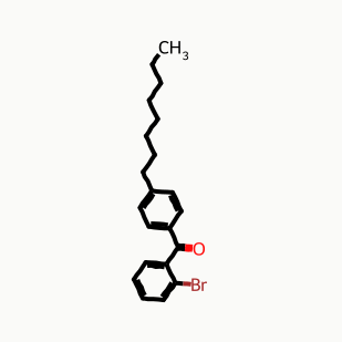 CCCCCCCCc1ccc(C(=O)c2ccccc2Br)cc1